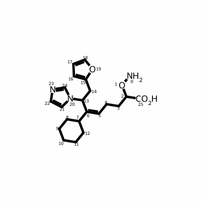 NOC(CCC=C(C1CCCCC1)C(Cc1ccco1)n1ccnc1)C(=O)O